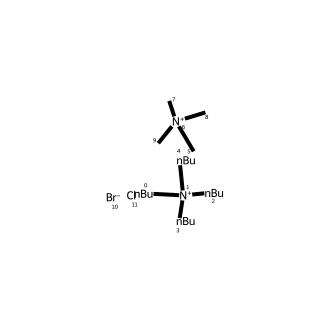 CCCC[N+](CCCC)(CCCC)CCCC.C[N+](C)(C)C.[Br-].[Cl-]